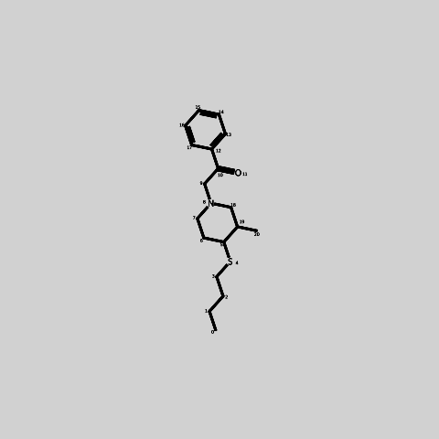 CCCCSC1CCN(CC(=O)c2ccccc2)CC1C